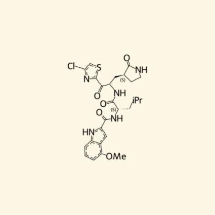 COc1cccc2[nH]c(C(=O)N[C@@H](CC(C)C)C(=O)NC(C[C@@H]3CCNC3=O)C(=O)c3nc(Cl)cs3)cc12